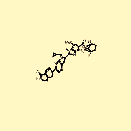 COc1cc(C(=O)N2C[C@H]3CC[C@@H]2[C@@H]3N)cc2nc(-c3cc4ccc(-c5ccc6c(=O)[nH]ccc6c5)nc4n3CC3CC3)n(C)c12